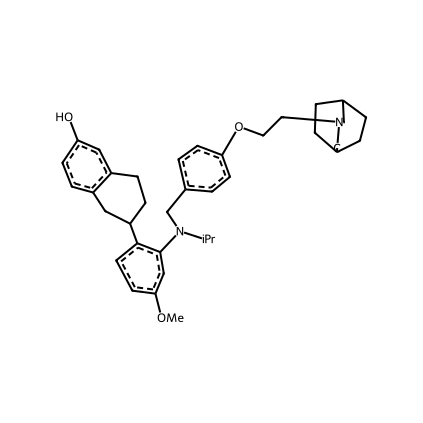 COc1ccc(C2CCc3cc(O)ccc3C2)c(N(Cc2ccc(OCCN3CC4CCC(CC4)C3)cc2)C(C)C)c1